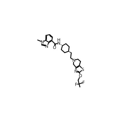 Cn1cnc2c(C(=O)N[C@H]3CC[C@H](CCN4CCc5sc(OCC(C)(F)F)nc5C4)CC3)cccc21